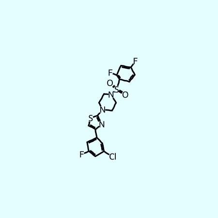 O=S(=O)(c1ccc(F)cc1F)N1CCN(c2nc(-c3cc(F)cc(Cl)c3)cs2)CC1